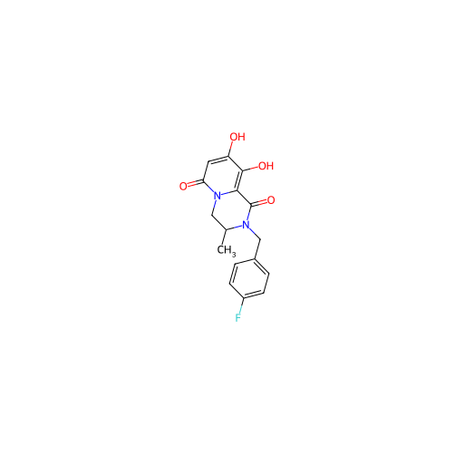 CC1Cn2c(c(O)c(O)cc2=O)C(=O)N1Cc1ccc(F)cc1